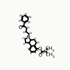 CN(C)C(=O)Oc1cccc2c1CCC1C2CCN1CCCC(=O)c1ccccc1